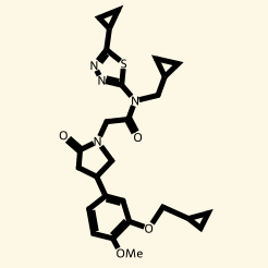 COc1ccc(C2CC(=O)N(CC(=O)N(CC3CC3)c3nnc(C4CC4)s3)C2)cc1OCC1CC1